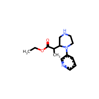 CCOC(=O)C(C)C1CNCCN1c1[c]nccc1